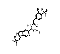 C[C@@H](NC(=O)Cc1ccc(C(F)(F)F)c(F)c1)c1cc2cnn(CC(F)(F)F)c2cn1